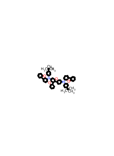 CC(C)(C)c1ccc(N(c2ccc3c(c2)oc2cc(N(c4ccc(C(C)(C)C)cc4)c4cccc5c4oc4ccccc45)c4oc5ccccc5c4c23)c2cccc3c2oc2ccccc23)cc1